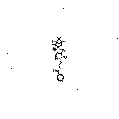 C[C@@H]1[C@H]2C[C@@H](C[C@H]1Nc1cnn(CCNC(=O)c3ccncc3)c(=O)c1Br)C2(C)C